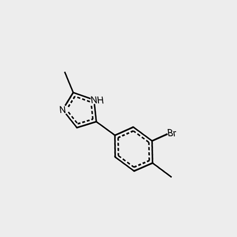 Cc1ncc(-c2ccc(C)c(Br)c2)[nH]1